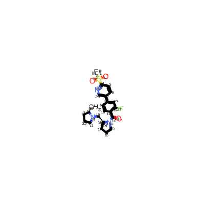 CCS(=O)(=O)c1ccc(-c2ccc(C(=O)N3CCC[C@H]3CN3CCC[C@H]3C)c(F)c2)cn1